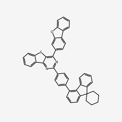 c1ccc2c(c1)-c1c(-c3ccc(-c4nc(-c5ccc6c(c5)oc5ccccc56)c5sc6ccccc6c5n4)cc3)cccc1C21CCCCC1